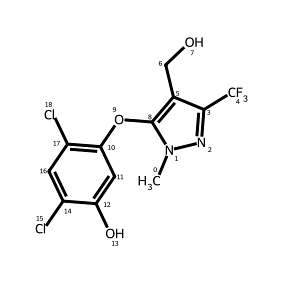 Cn1nc(C(F)(F)F)c(CO)c1Oc1cc(O)c(Cl)cc1Cl